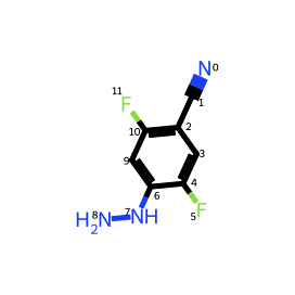 N#Cc1cc(F)c(NN)cc1F